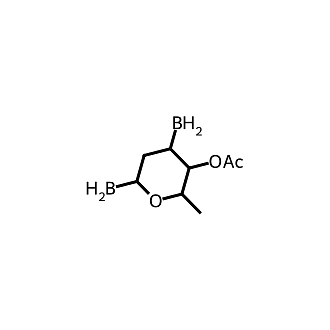 BC1CC(B)C(OC(C)=O)C(C)O1